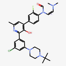 Cc1cc(-c2ccc(N(C=O)/C=C\N(C)C)c(F)c2)c(O)c(-c2cc(Cl)cc(N3CCN(C(C)(C)C)CC3)c2)n1